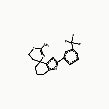 NC1=NC2(CCCc3sc(-c4cccc(C(F)(F)F)c4)cc32)CCS1